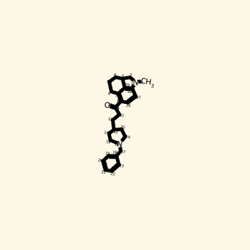 CN1CC2CCCc3c(C(=O)CCC4CCN(Cc5ccccc5)CC4)ccc1c32